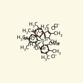 COc1[c]([Ti+3]([SiH3])([C]2=C(C)C(C)=C(C)C2C)([c]2ccc(C)c(C)c2OC)[c]2ccc(C)c(C)c2OC)ccc(C)c1C.[Cl-].[Cl-].[Cl-]